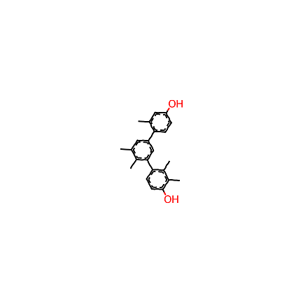 Cc1cc(O)ccc1-c1cc(C)c(C)c(-c2ccc(O)c(C)c2C)c1